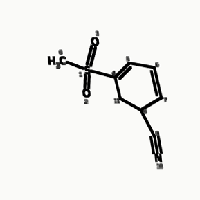 CS(=O)(=O)C1=CC=CC(C#N)C1